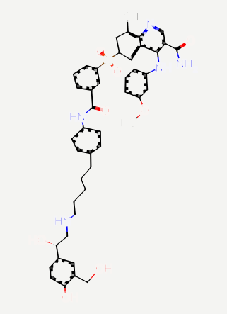 COc1cccc(Nc2c(C(N)=O)cnc3c2=CC(S(=O)(=O)c2cccc(C(=O)Nc4ccc(CCCCCNC[C@H](O)c5ccc(O)c(CO)c5)cc4)c2)CC=3C)c1